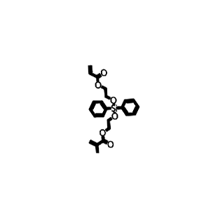 C=CC(=O)OCCO[Si](OCCOC(=O)C(=C)C)(c1ccccc1)c1ccccc1